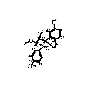 COCC1COc2c(F)ccc(F)c2C1(C)S(=O)(=O)c1ccc(Cl)cc1